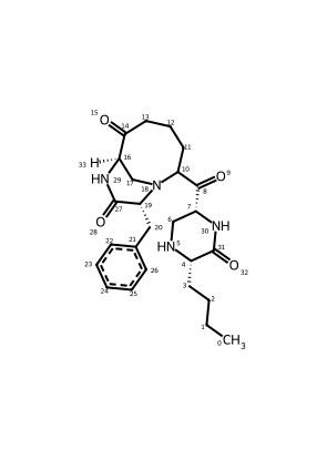 CCCC[C@@H]1NC[C@H](C(=O)C2CCCC(=O)[C@H]3CN2[C@H](Cc2ccccc2)C(=O)N3)NC1=O